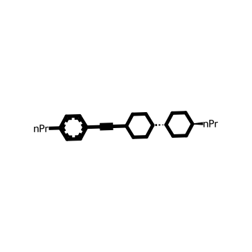 CCCc1ccc(C#CC2CCC([C@H]3CC[C@H](CCC)CC3)CC2)cc1